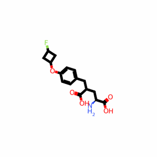 N[C@@H](CC(Cc1ccc(OC2CC(F)C2)cc1)C(=O)O)C(=O)O